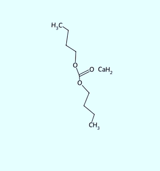 CCCCOC(=O)OCCCC.[CaH2]